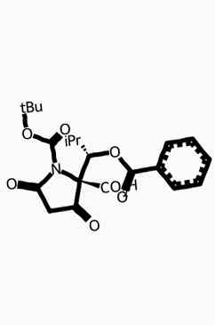 CC(C)[C@H](OC(=O)c1ccccc1)[C@]1(C(=O)O)C(=O)CC(=O)N1C(=O)OC(C)(C)C